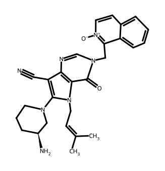 CC(C)=CCn1c(N2CCC[C@H](N)C2)c(C#N)c2ncn(Cc3c4ccccc4cc[n+]3[O-])c(=O)c21